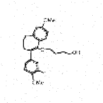 COc1ccc2c(c1)CCCC(c1ccc(OC)c(F)c1)=C2CCCCCO